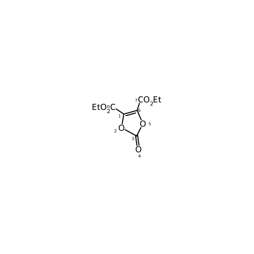 CCOC(=O)c1oc(=O)oc1C(=O)OCC